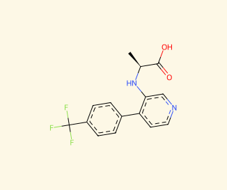 C[C@H](Nc1cnccc1-c1ccc(C(F)(F)F)cc1)C(=O)O